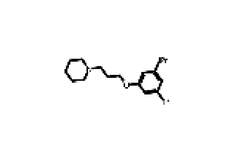 CC(C)c1[c]c(C(C)C)cc(OCCCN2CCCCC2)c1